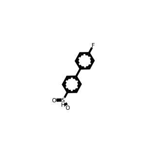 O=[SH](=O)c1ccc(-c2ccc(F)cc2)cc1